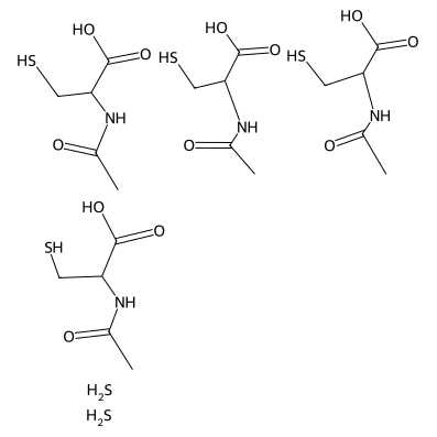 CC(=O)NC(CS)C(=O)O.CC(=O)NC(CS)C(=O)O.CC(=O)NC(CS)C(=O)O.CC(=O)NC(CS)C(=O)O.S.S